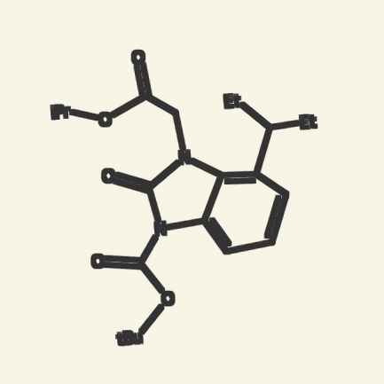 CCC(CC)c1cccc2c1n(CC(=O)OC(C)C)c(=O)n2C(=O)OC(C)(C)C